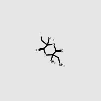 NCC1(N)OC(=O)C(N)(CI)OC1=O